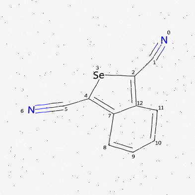 N#Cc1[se]c(C#N)c2ccccc12